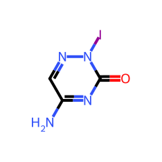 Nc1cnn(I)c(=O)n1